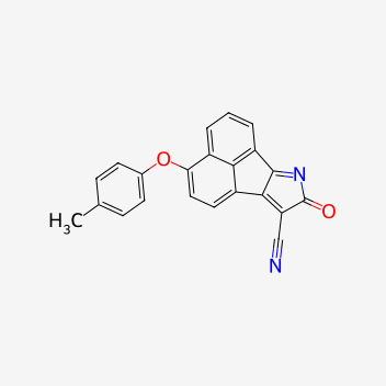 Cc1ccc(Oc2ccc3c4c(cccc24)C2=NC(=O)C(C#N)=C23)cc1